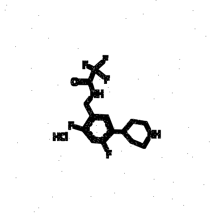 Cl.O=C(NCc1cc(C2CCNCC2)c(F)cc1F)C(F)(F)F